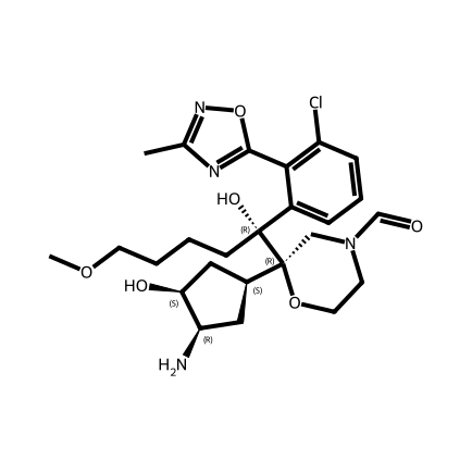 COCCCC[C@@](O)(c1cccc(Cl)c1-c1nc(C)no1)[C@@]1([C@H]2C[C@@H](N)[C@@H](O)C2)CN(C=O)CCO1